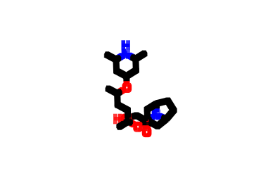 CC1CC(OC(C)CCC(C)OC2CC3CCC(C2)N3C(=O)CO)CC(C)N1